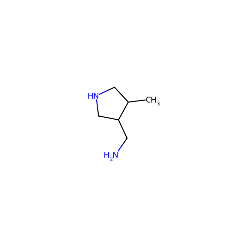 CC1CNCC1CN